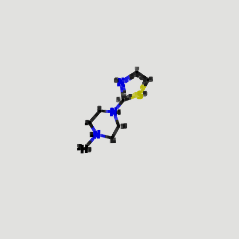 [2H]N1CCN(c2nccs2)CC1